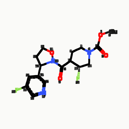 CC(C)(C)OC(=O)N1CCC(C(=O)N2OCCC2c2cncc(F)c2)[C@@H](F)C1